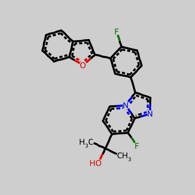 CC(C)(O)c1ccn2c(-c3ccc(F)c(-c4cc5ccccc5o4)c3)cnc2c1F